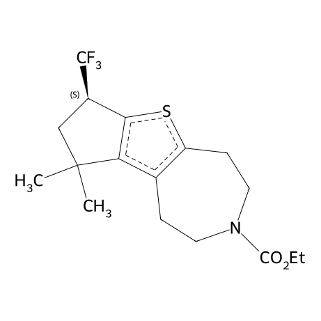 CCOC(=O)N1CCc2sc3c(c2CC1)C(C)(C)C[C@H]3C(F)(F)F